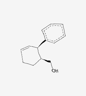 OC[C@H]1CCC=C[C@H]1c1ccccc1